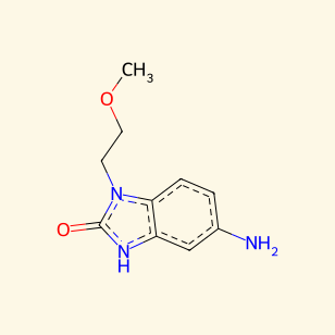 COCCn1c(=O)[nH]c2cc(N)ccc21